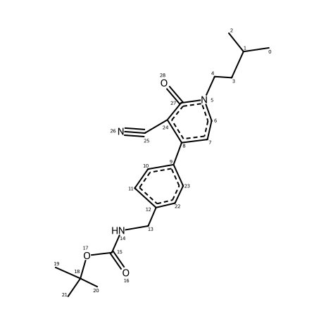 CC(C)CCn1ccc(-c2ccc(CNC(=O)OC(C)(C)C)cc2)c(C#N)c1=O